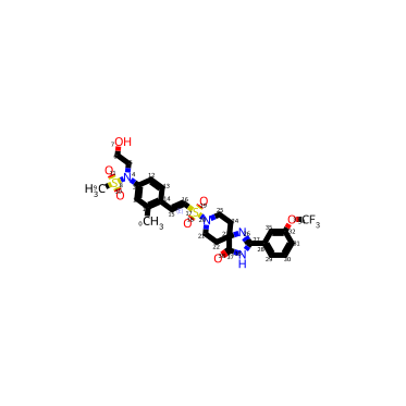 Cc1cc(N(CCO)S(C)(=O)=O)ccc1/C=C/S(=O)(=O)N1CCC2(CC1)N=C(c1cccc(OC(F)(F)F)c1)NC2=O